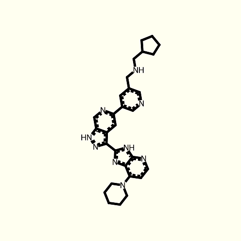 c1cc(N2CCCCC2)c2nc(-c3n[nH]c4cnc(-c5cncc(CNCC6CCCC6)c5)cc34)[nH]c2n1